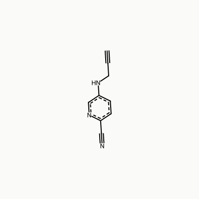 C#CCNc1ccc(C#N)nc1